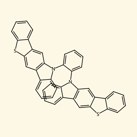 c1ccc(-n2c3ccccc3c3cc4sc5ccccc5c4cc32)c(-n2c3ccccc3c3cc4sc5ccccc5c4cc32)c1